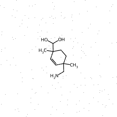 CC1(CN)C=CC(C)(C(O)O)CC1